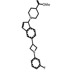 COC(=O)C1CCN(C2C=Cc3cc(C4CN(c5cccc(F)c5)C4)ccc32)CC1